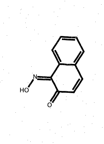 O=C1C=Cc2ccccc2C1=NO